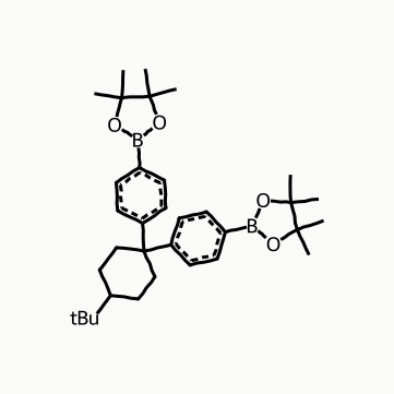 CC(C)(C)C1CCC(c2ccc(B3OC(C)(C)C(C)(C)O3)cc2)(c2ccc(B3OC(C)(C)C(C)(C)O3)cc2)CC1